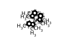 Cc1ccc2c(c1)C(C)(C)C=C2N(C1=CC(C)(C)c2ccccc21)C1=CC(C)(C)c2ccccc21